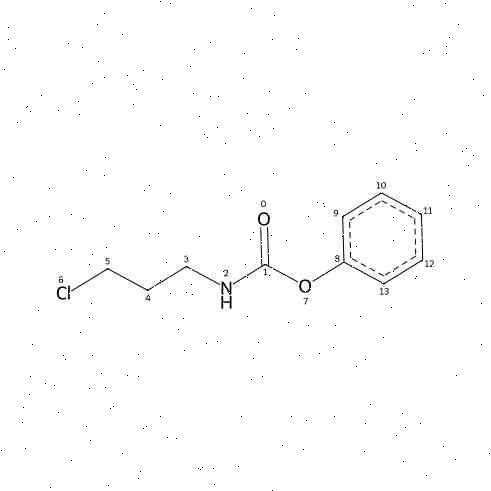 O=C(NCCCCl)Oc1ccccc1